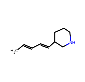 [CH2]C=CC=CC1CCCNC1